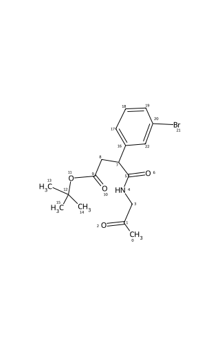 CC(=O)CNC(=O)C(CC(=O)OC(C)(C)C)c1cccc(Br)c1